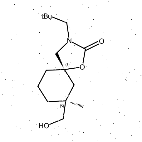 CC(C)(C)CN1C[C@@]2(CCC[C@](C)(CO)C2)OC1=O